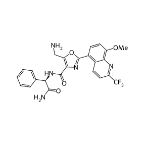 COc1ccc(-c2nc(C(=O)N[C@@H](C(N)=O)c3ccccc3)c(CN)o2)c2ccc(C(F)(F)F)nc12